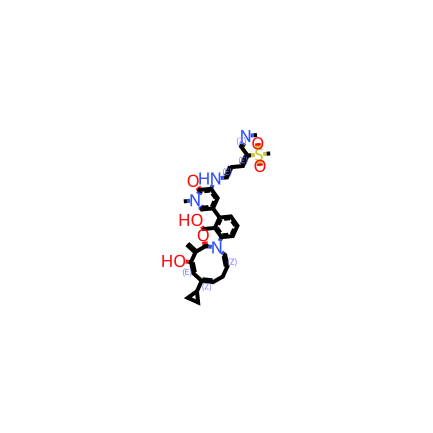 C=C1C(=O)N(c2cccc(-c3cc(N/C=C/C=C(\C=N/C)S(C)(=O)=O)c(=O)n(C)c3)c2CO)/C=C\C/C=C(C2CC2)\C=C/1O